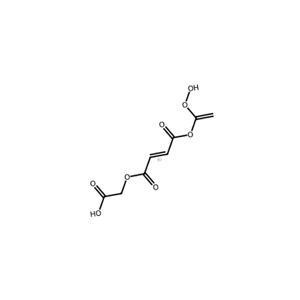 C=C(OO)OC(=O)/C=C/C(=O)OCC(=O)O